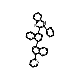 c1ccc(-c2nc3ccccc3nc2-c2ccc(-c3ccc(-c4ccccn4)c4ccccc34)c3ccccc23)cc1